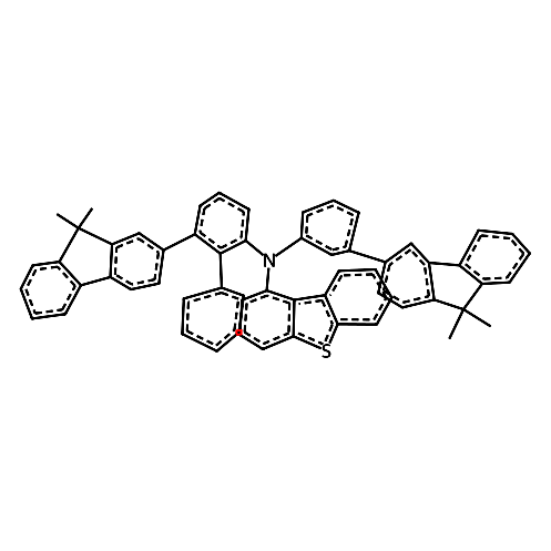 CC1(C)c2ccccc2-c2cc(-c3cccc(N(c4cccc(-c5ccc6c(c5)C(C)(C)c5ccccc5-6)c4-c4ccccc4)c4cccc5sc6ccccc6c45)c3)ccc21